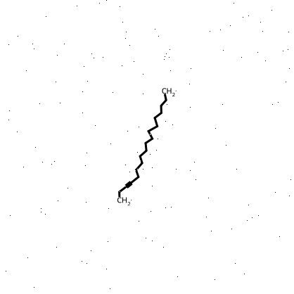 [CH2]CC#CCCCCCCCCCCCCC[CH2]